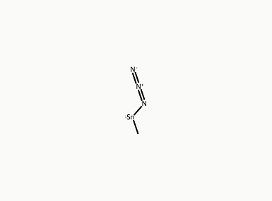 [CH3][Sn][N]=[N+]=[N-]